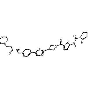 CN(C(=O)[C@@H]1CCCN1)c1cnc(C(=O)N2CC(c3ncc(-c4ccc(CNC(=O)CCN5CCOCC5)cc4)s3)C2)s1